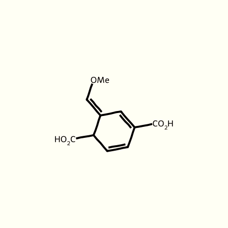 COC=C1C=C(C(=O)O)C=CC1C(=O)O